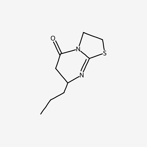 CCCC1CC(=O)N2CCSC2=N1